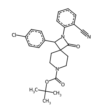 CC(C)(C)OC(=O)N1CCC2(CC1)C(=O)N(c1ccccc1C#N)C2c1ccc(Cl)cc1